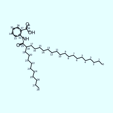 CCCCCCCCCCCCCCCCCCC(CCCCCCCCCC)C(=O)Nc1ccccc1C(=O)O